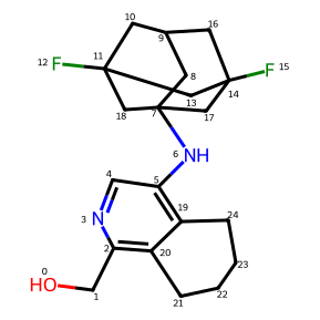 OCc1ncc(NC23CC4CC(F)(CC(F)(C4)C2)C3)c2c1CCCC2